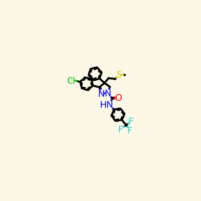 CSCCC1(c2ccccc2)CN(C(=O)Nc2ccc(C(F)(F)F)cc2)N=C1c1ccc(Cl)cc1